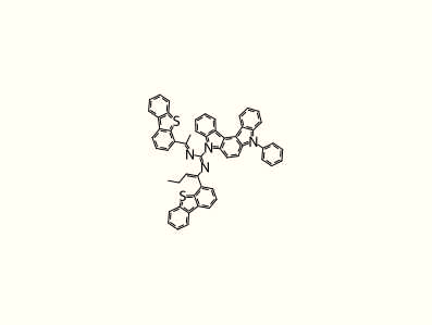 CC/C=C(/N=C(\N=C(/C)c1cccc2c1sc1ccccc12)n1c2ccccc2c2c3c4ccccc4n(-c4ccccc4)c3ccc21)c1cccc2c1sc1ccccc12